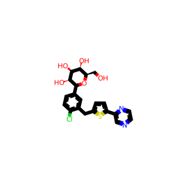 OC[C@H]1OC(c2ccc(Cl)c(Cc3ccc(-c4cnccn4)s3)c2)[C@H](O)[C@@H](O)[C@@H]1O